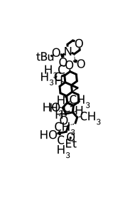 CCO[C@@H]([C@H]1C[C@@H](C)[C@H]2[C@H](O1)[C@H](O)[C@@]1(C)[C@@H]3CC[C@H]4C(C)(C)[C@@H](OC(=O)[C@H]5COCCN5C(=O)OC(C)(C)C)CCC45C[C@@]35CC[C@]21C)C(C)(C)O